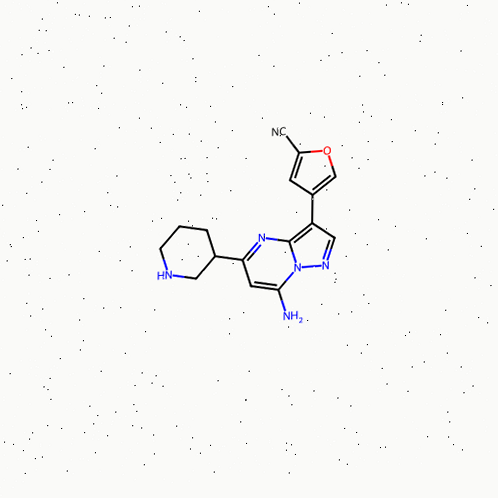 N#Cc1cc(-c2cnn3c(N)cc(C4CCCNC4)nc23)co1